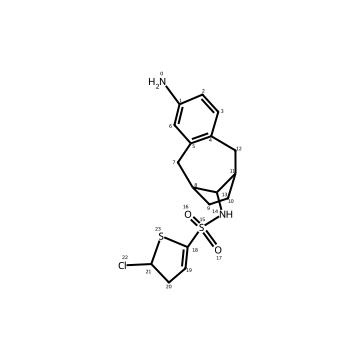 Nc1ccc2c(c1)CC1CCC(C2)C1NS(=O)(=O)C1=CCC(Cl)S1